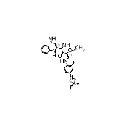 C=CO/C(=C/Nc1ccc(N2CC(F)(F)C2)cc1F)C(=O)C(=N)/C(=C/C=N)Nc1ccccc1